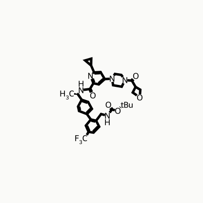 C[C@@H](NC(=O)c1cc(N2CCN(C(=O)C3COC3)CC2)cc(C2CC2)n1)c1ccc(-c2cc(C(F)(F)F)ccc2CNC(=O)OC(C)(C)C)cc1